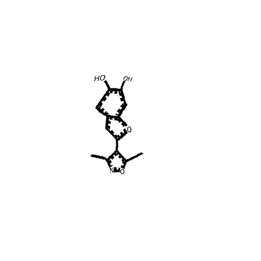 Cc1noc(C)c1-c1cc2cc(O)c(O)cc2o1